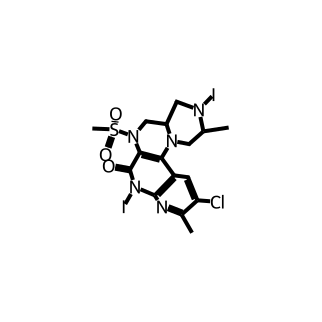 Cc1nc2c(cc1Cl)c1c(c(=O)n2I)N(S(C)(=O)=O)CC2CN(I)C(C)CN12